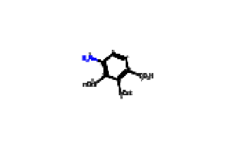 CCCCCCCCc1c(N)ccc(C(=O)O)c1CCCCCCCC